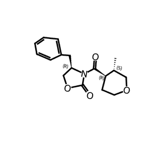 C[C@@H]1COCC[C@H]1C(=O)N1C(=O)OC[C@H]1Cc1ccccc1